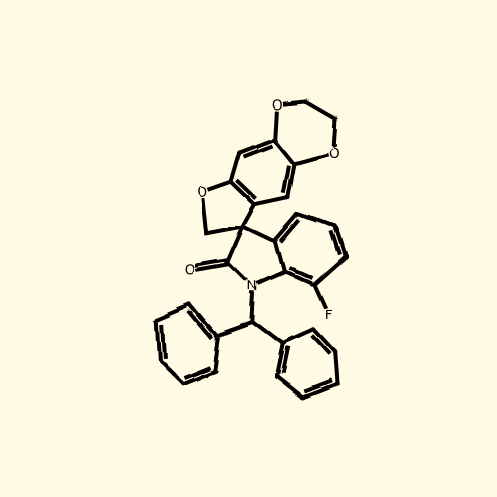 O=C1N(C(c2ccccc2)c2ccccc2)c2c(F)cccc2C12COc1cc3c(cc12)OCCO3